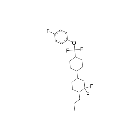 CCCC1CCC(C2CCC(C(F)(F)Oc3ccc(F)cc3)CC2)CC1(F)F